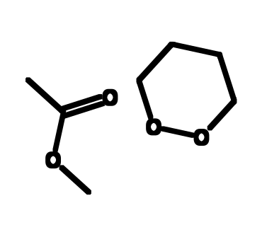 C1CCOOC1.COC(C)=O